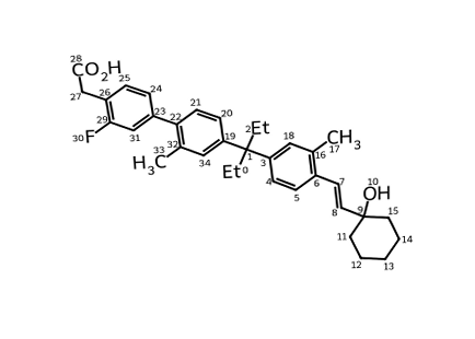 CCC(CC)(c1ccc(/C=C/C2(O)CCCCC2)c(C)c1)c1ccc(-c2ccc(CC(=O)O)c(F)c2)c(C)c1